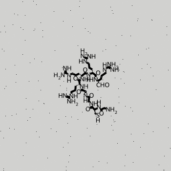 N=C(N)NCCC[C@H](C=O)NC(=O)[C@@H](CCCNC(=N)N)NC(=O)[C@@H](CCCNC(=N)N)NC(=O)[C@@H](CCCNC(=N)N)NC(=O)CNC(=O)CNC(=O)[C@H](CS)NC(=O)CN